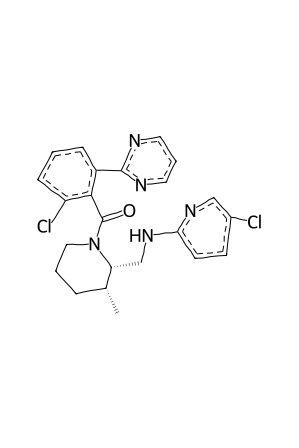 C[C@@H]1CCCN(C(=O)c2c(Cl)cccc2-c2ncccn2)[C@@H]1CNc1ccc(Cl)cn1